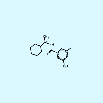 C[C@@H](NC(=O)c1cc(O)cc(F)c1)C1CCCCC1